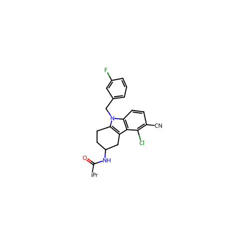 CC(C)C(=O)NC1CCc2c(c3c(Cl)c(C#N)ccc3n2Cc2cccc(F)c2)C1